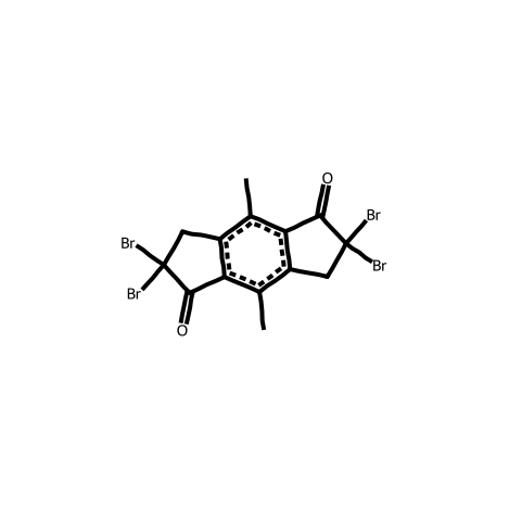 Cc1c2c(c(C)c3c1C(=O)C(Br)(Br)C3)C(=O)C(Br)(Br)C2